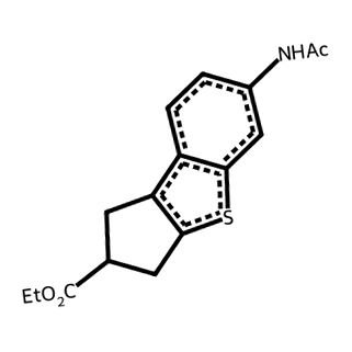 CCOC(=O)C1Cc2sc3cc(NC(C)=O)ccc3c2C1